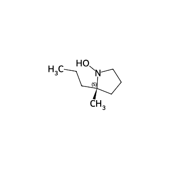 CCC[C@@]1(C)CCCN1O